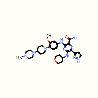 COc1cc(Nc2nc(NC3CCOCC3)c(-c3cc[nH]n3)nc2C(N)=O)ccc1N1CCC(N2CCN(C)CC2)CC1